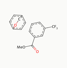 COC(=O)c1cccc(C(F)(F)F)c1.c1cc2ccc1CO2